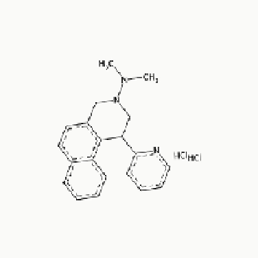 CN(C)N1Cc2ccc3ccccc3c2C(c2ccccn2)C1.Cl.Cl